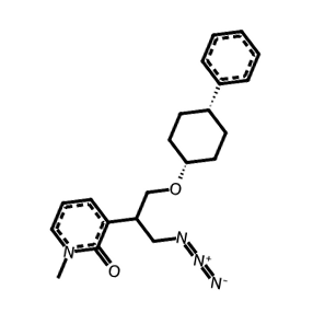 Cn1cccc(C(CN=[N+]=[N-])CO[C@H]2CC[C@@H](c3ccccc3)CC2)c1=O